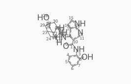 O=C(Nc1ccccc1O)c1cnc2[nH]ccc2c1N[C@H]1[C@@H]2CC3C[C@H]1C[C@@](O)(C3)C2